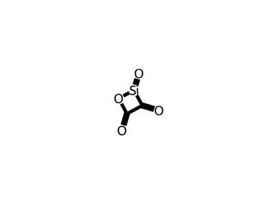 O=c1o[si](=O)c1=O